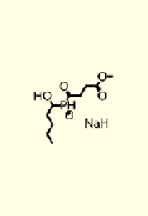 CCCCC(O)[PH](=O)C(=O)CCC(=O)OC.[NaH]